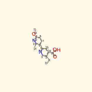 CCc1cnc(-c2ccc(OC)nc2C)cc1C(=O)O